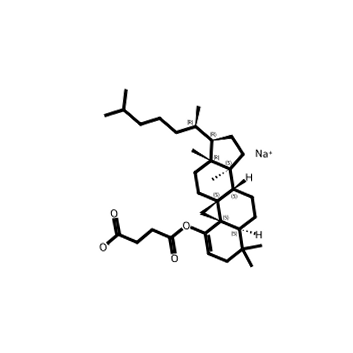 CC(C)CCC[C@@H](C)[C@H]1CC[C@@]2(C)[C@@H]3CC[C@H]4C(C)(C)CC=C(OC(=O)CCC(=O)[O-])[C@@]45C[C@@]35CC[C@]12C.[Na+]